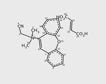 C[N+](C)(CC#N)C1=Cc2ccccc2Oc2ccccc21.O=C(O)/C=C/C(=O)O